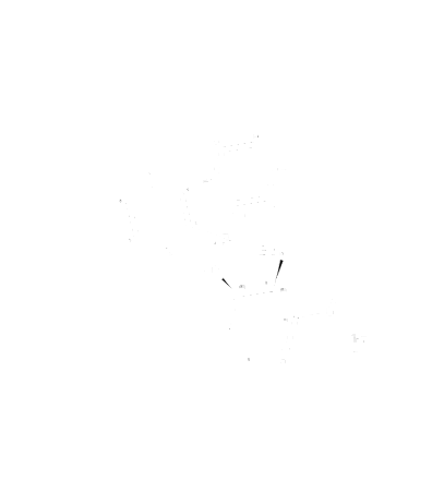 C=C[C@@H](O[Si](c1ccccc1)(c1ccccc1)C(C)(C)C)[C@@H](C)C(=O)OC(C)C